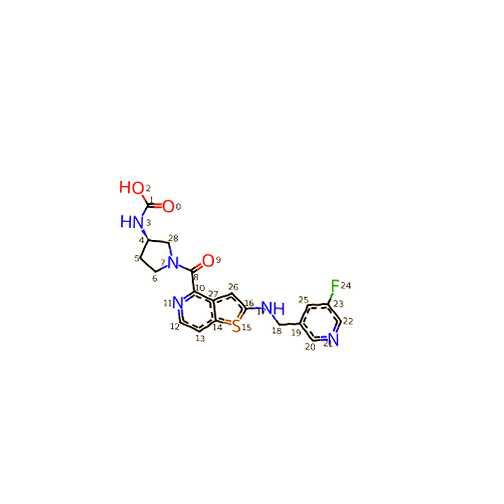 O=C(O)N[C@@H]1CCN(C(=O)c2nccc3sc(NCc4cncc(F)c4)cc23)C1